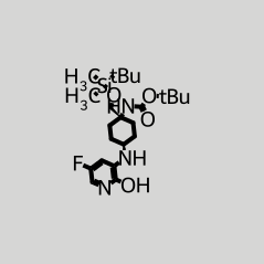 CC(C)(C)OC(=O)N[C@]1(CO[Si](C)(C)C(C)(C)C)CC[C@@H](Nc2cc(F)cnc2O)CC1